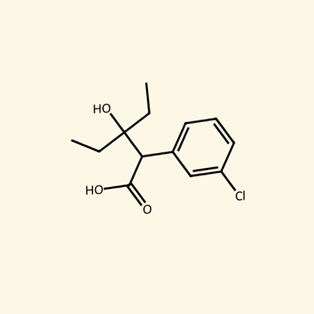 CCC(O)(CC)C(C(=O)O)c1cccc(Cl)c1